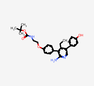 CCc1c(-c2ccc(O)cc2)cnc(N)c1-c1ccc(OCCNC(=O)OC(C)(C)C)cc1